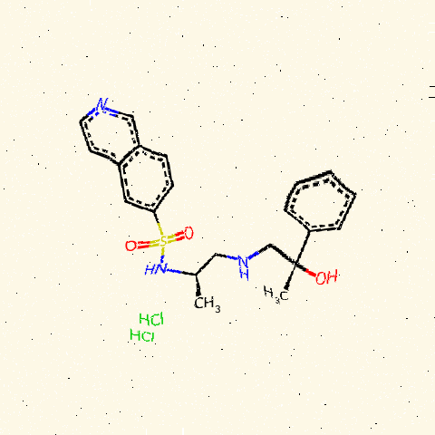 C[C@H](CNC[C@@](C)(O)c1ccccc1)NS(=O)(=O)c1ccc2cnccc2c1.Cl.Cl